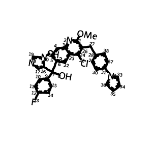 COc1nc2ccc(C(O)(c3ccc(F)cc3)c3cncn3C)cc2c(Cl)c1Cc1ccc(-n2cccc2)cc1